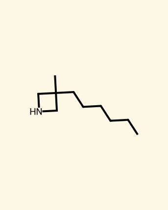 CCCCCCC1(C)CNC1